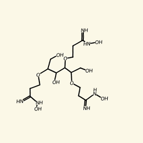 N=C(CCOC(CO)C(O)C(OCCC(=N)NO)C(CO)OCCC(=N)NO)NO